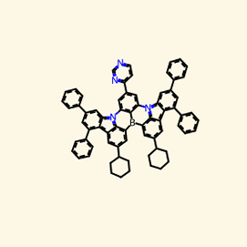 c1ccc(-c2cc(-c3ccccc3)c3c4cc(C5CCCCC5)cc5c4n(c3c2)-c2cc(-c3ccncn3)cc3c2B5c2cc(C4CCCCC4)cc4c5c(-c6ccccc6)cc(-c6ccccc6)cc5n-3c24)cc1